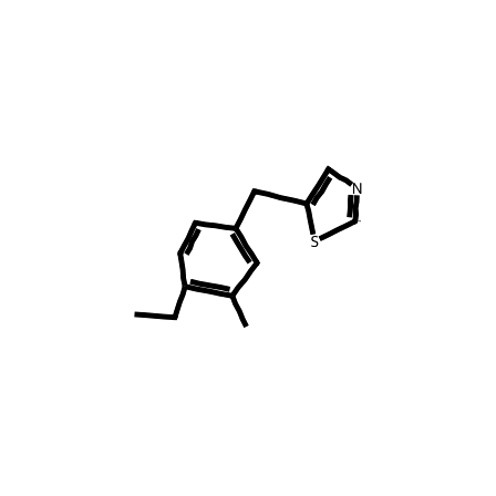 CCc1ccc(Cc2cn[c]s2)cc1C